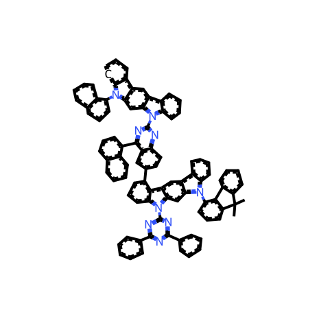 CC1(C)c2ccccc2-c2c(-n3c4ccccc4c4cc5c6c(-c7ccc8nc(-n9c%10ccccc%10c%10cc%11c%12ccccc%12n(-c%12cccc%13ccccc%12%13)c%11cc%109)nc(-c9cccc%10ccccc9%10)c8c7)cccc6n(-c6nc(-c7ccccc7)nc(-c7ccccc7)n6)c5cc43)cccc21